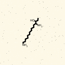 [CH2]CC(O)C(N)CCCCCCCCCCCN